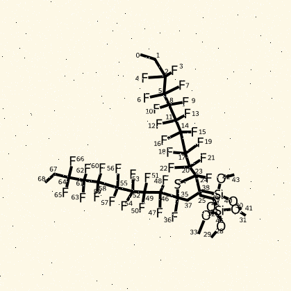 CCC(F)(F)C(F)(F)C(F)(F)C(F)(F)C(F)(F)C(F)(F)C(F)(F)C(F)(CC[Si](OC)(OC)OC)SC(F)(CC[Si](OC)(OC)OC)C(F)(F)C(F)(F)C(F)(F)C(F)(F)C(F)(F)C(F)(F)C(F)(F)CC